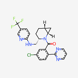 O=C(c1cc(Cl)ccc1-c1ncccn1)N1[C@H](CNc2ccc(C(F)(F)F)cn2)CC[C@@H]2C[C@@H]21